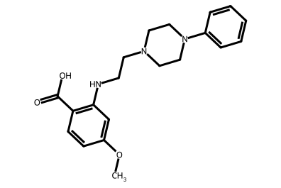 COc1ccc(C(=O)O)c(NCCN2CCN(c3ccccc3)CC2)c1